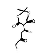 CC1(C)OC(=O)C(C(=O)CC(=O)CCl)C(=O)O1